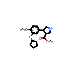 COC(=O)C1CNCC1c1ccc(OC)c(OC2CCCC2)c1